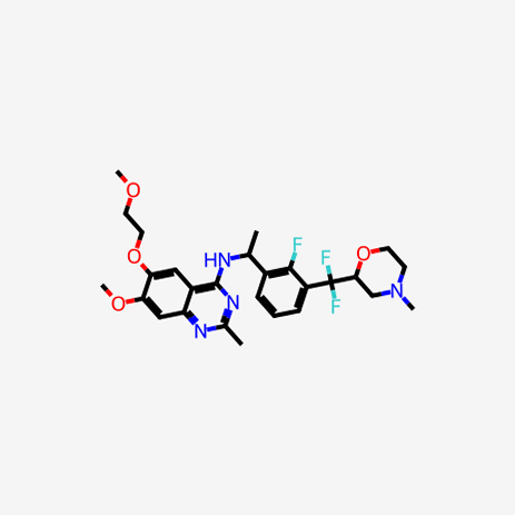 COCCOc1cc2c(NC(C)c3cccc(C(F)(F)C4CN(C)CCO4)c3F)nc(C)nc2cc1OC